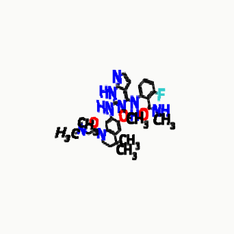 CNC(=O)c1c(F)cccc1Nc1nc(Nc2cc3c(cc2OC)C(C)(C)CCN3C(=O)CN(C)C)[nH]c2nccc1-2